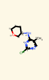 Cc1cnc(Cl)nc1N[C@@H]1CCCOC1